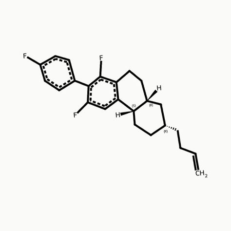 C=CCC[C@@H]1CC[C@@H]2c3cc(F)c(-c4ccc(F)cc4)c(F)c3CC[C@@H]2C1